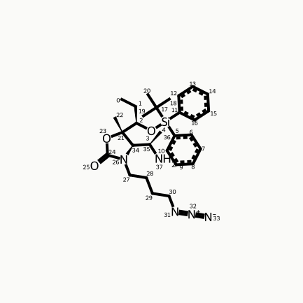 CC[C@@H](O[Si](c1ccccc1)(c1ccccc1)C(C)(C)C)[C@@]1(C)OC(=O)N(CCCCN=[N+]=[N-])[C@@H]1[C@@H](C)N